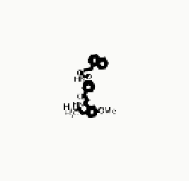 COc1ccc2c(c1)C(=CC(=O)c1cccc(NS(=O)(=O)CCc3cccc4ccccc34)c1)NC(C)(C)C2